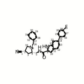 N#C[C@H]1C[C@@H](CNC(=O)c2cc3ccc(-c4ccc(F)cc4)cc3[nH]2)N(Cc2ccccc2)C1